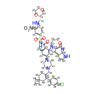 O=C(NS(=O)(=O)c1ccc(NC[C@H]2COCCO2)c([N+](=O)[O-])c1)c1c(F)cc(N2CCN(CC3=C(c4ccc(Cl)cc4)CC4(CCC4)CC3)CC2)cc1N1CCCOc2nc3[nH]ccc3cc21